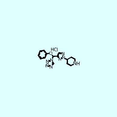 Cl.c1ccc(OC(c2cnn(C3CCNCC3)n2)n2cnnn2)cc1